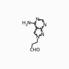 Nc1ncnc2nn(CCC=O)cc12